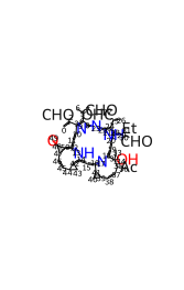 C=C(C=O)C1=C(C(C)C=O)c2nc1c/c1[nH]/c(cc3nc(cc4[nH]c(n2)c(C(C)C=O)c4C(C=O)CC)C(C)(O)C(C(C)=O)/C=C\C2C=C32)=C2\CC2/C=C\C2C(=O)/C=12